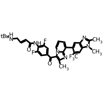 Cc1nc2c(-c3cc4nc(C)n(C)c4cc3C(F)(F)F)cccn2c1C(=O)c1cc(F)c(NC(=O)/C=C/CNC(C)(C)C)c(F)c1